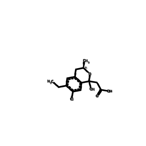 CCc1cc2c(cc1Cl)C(O)(CC(=O)O)O[C@H](C)C2